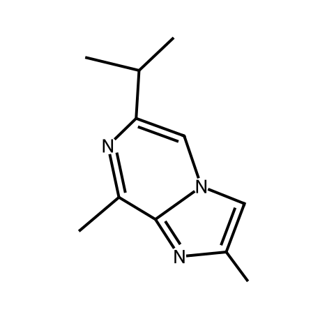 Cc1cn2cc(C(C)C)nc(C)c2n1